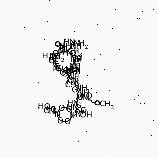 CCCC[C@H](NC(=O)CN1CCC(NC(=O)C(CCCCNC(=S)Nc2cc(CN3CCOCCOCCN(Cc4cccc(C(=O)O)n4)CCOCCOCC3)nc(C(=O)O)c2)NC(=O)CNC(=O)CCCc2ccc(C)cc2)CC1)C(=O)N[C@H]1CC(=O)NCCCC[C@@H](C(N)=O)N(C)C(=O)[C@H](Cc2c[nH]c3ccccc23)NC(=O)[C@H](CCCNC(=N)N)N(C)C(=O)[C@@H](Cc2ccccc2)NC(=O)[C@H](Cc2cnc[nH]2)NC1=O